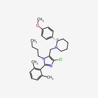 CCCCn1c(-c2c(C)cccc2C)nc(Cl)c1CN1CCCC[C@H]1c1ccc(OC)cc1